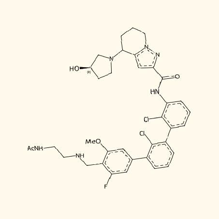 COc1cc(-c2cccc(-c3cccc(NC(=O)c4cc5n(n4)CCCC5N4CC[C@@H](O)C4)c3Cl)c2Cl)cc(F)c1CNCCNC(C)=O